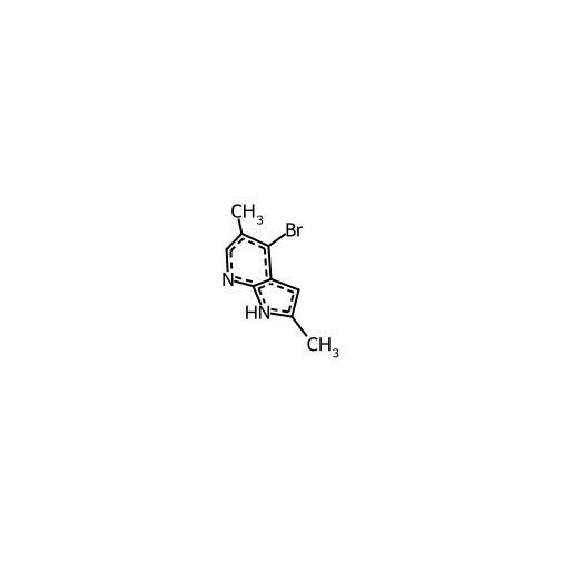 Cc1cc2c(Br)c(C)cnc2[nH]1